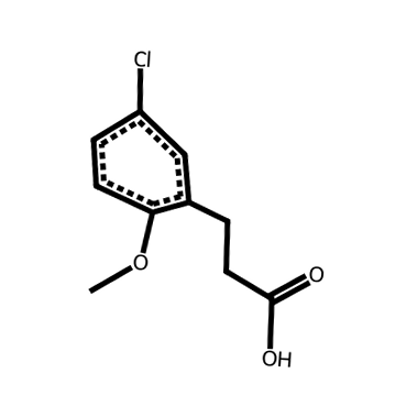 COc1ccc(Cl)cc1CCC(=O)O